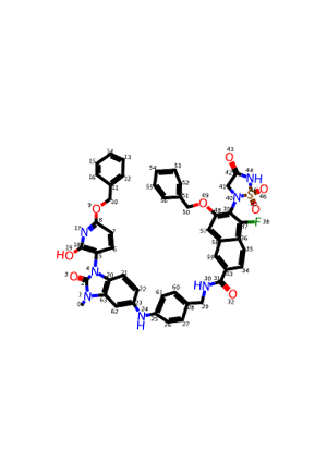 Cn1c(=O)n(-c2ccc(OCc3ccccc3)nc2O)c2ccc(Nc3ccc(CNC(=O)c4ccc5c(F)c(N6CC(=O)NS6(=O)=O)c(OCc6ccccc6)cc5c4)cc3)cc21